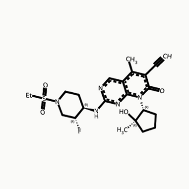 C#Cc1c(C)c2cnc(N[C@@H]3CCN(S(=O)(=O)CC)C[C@H]3F)nc2n([C@@H]2CCC[C@@]2(C)O)c1=O